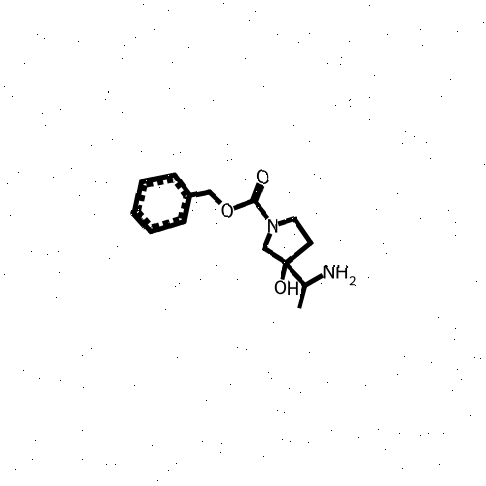 CC(N)C1(O)CCN(C(=O)OCc2ccccc2)C1